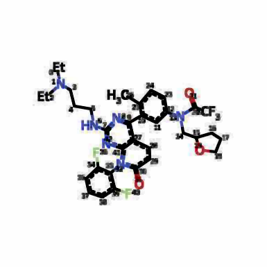 CCN(CC)CCCNc1nc(-c2cc(N(CC3CCCO3)C(=O)C(F)(F)F)ccc2C)c2ccc(=O)n(-c3c(F)cccc3F)c2n1